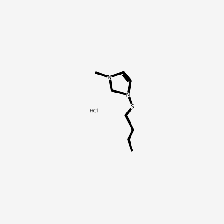 CCCCSN1C=CN(C)C1.Cl